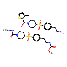 CCCCCCNC(=O)N1CCC(S(=O)(=O)c2ccc(CCNC(=O)OC(C)(C)C)cc2)CC1.Cc1ccsc1C(=O)N1CCC(S(=O)(=O)c2ccc(CCN)cc2)CC1